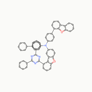 c1ccc(-c2ccc(N(c3ccc(-c4cccc5c4oc4ccccc45)cc3)c3ccc4oc5cccc(-c6nc(-c7ccccc7)nc(-c7ccccc7)n6)c5c4c3)cc2)cc1